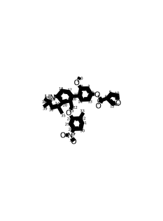 COc1cc(OC(=O)c2ccoc2)ccc1-c1ccc2c(c1COc1cc([N+](=O)[O-])ccc1C)C(C)=CC(C)(C)N2